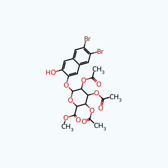 COC(=O)C1OC(Oc2cc3cc(Br)c(Br)cc3cc2O)C(OC(C)=O)C(OC(C)=O)C1OC(C)=O